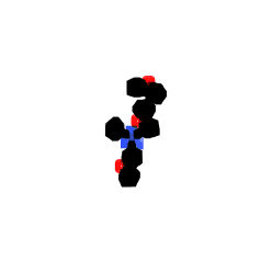 c1ccc(-c2nc(-c3ccc4c(c3)oc3ccccc34)nc(-c3cccc4c3oc3ccc(-c5cccc6oc7ccccc7c56)cc34)n2)cc1